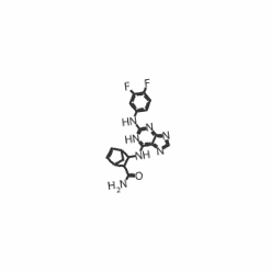 NC(=O)C1C2C=CC(C2)C1Nc1[nH]c(Nc2ccc(F)c(F)c2)nc2ncnc1-2